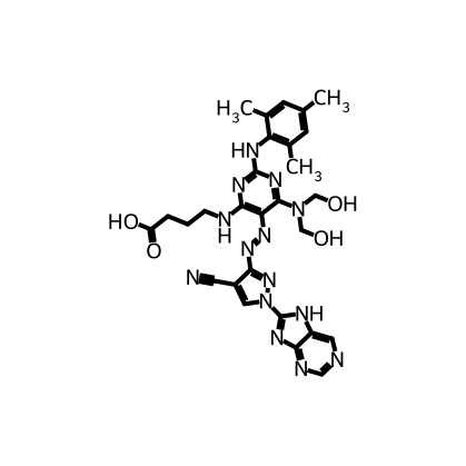 Cc1cc(C)c(Nc2nc(NCCCC(=O)O)c(N=Nc3nn(-c4nc5ncncc5[nH]4)cc3C#N)c(N(CO)CO)n2)c(C)c1